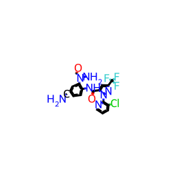 NCc1ccc(NC(=O)c2cc(C(F)(F)F)nn2-c2ncccc2Cl)c(N(N)C=O)c1